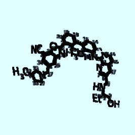 CC[C@@H](CO)NCc1cnc2c(Nc3cccc(-c4cccc(-c5nc6cc(CN7CC[C@@H](C)C7)cc(C#N)c6o5)c4C)c3C)nccc2c1